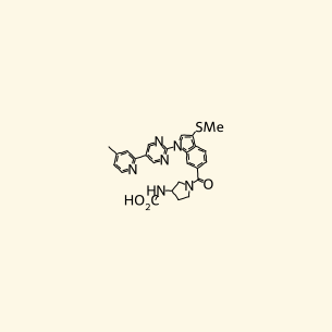 CSc1cn(-c2ncc(-c3cc(C)ccn3)cn2)c2cc(C(=O)N3CCC(NC(=O)O)C3)ccc12